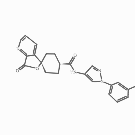 O=C1O[C@]2(CC[C@H](C(=O)Nc3cnn(-c4cccc(F)c4)c3)CC2)c2cccnc21